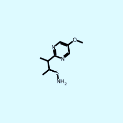 COc1cnc(C(C)C(C)SN)nc1